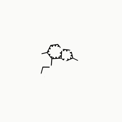 CCOc1c(Br)ccn2nc(C)nc12